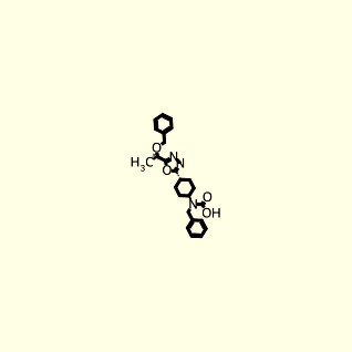 C[C@@H](OCc1ccccc1)c1nnc([C@H]2CC[C@H](N(Cc3ccccc3)C(=O)O)CC2)o1